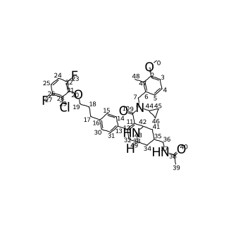 COc1cccc(CN(C(=O)C2=C(c3ccc(CCCOc4c(F)ccc(F)c4Cl)cc3)C[C@@H]3CC(CNC(C)=O)CC2N3)C2CC2)c1C